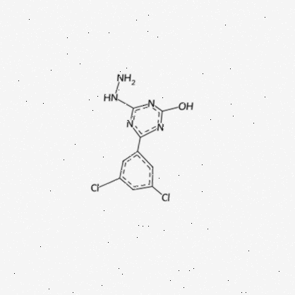 NNc1nc(O)nc(-c2cc(Cl)cc(Cl)c2)n1